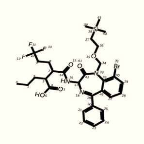 CCCC(C(=O)O)C(CCC(F)(F)F)C(=O)NC1N=C(c2ccccc2)c2cccc(Br)c2N(COCC[Si](C)(C)C)C1=O